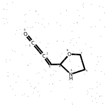 O=C=C=CC1NCCO1